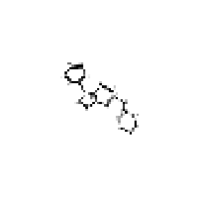 C(=C1SCCCS1)c1ccc2c(cnn2-c2ccccc2)c1